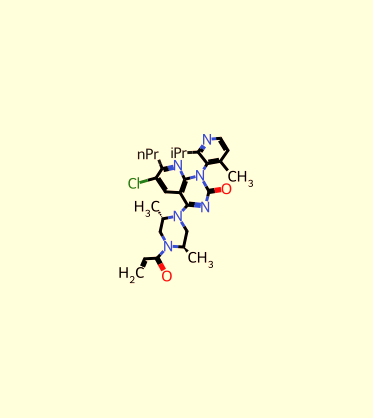 C=CC(=O)N1C[C@H](C)N(c2nc(=O)n(-c3c(C)ccnc3C(C)C)c3nc(CCC)c(Cl)cc23)C[C@H]1C